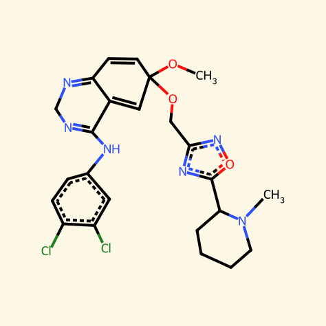 COC1(OCc2noc(C3CCCCN3C)n2)C=CC2=NCN=C(Nc3ccc(Cl)c(Cl)c3)C2=C1